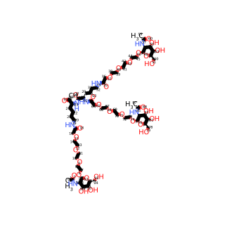 CC(=O)N[C@H]1[C@H](OCCOCCOCCOCC(=O)NCCCCC(NC(=O)[C@H](CCCCNC(=O)COCCOCCOCCO[C@@H]2O[C@H](CO)[C@H](O)[C@H](O)[C@H]2NC(C)=O)NC(=O)COCCOCCOCCO[C@@H]2O[C@H](CO)[C@H](O)[C@H](O)[C@H]2NC(C)=O)C(C)=O)O[C@H](CO)[C@H](O)[C@@H]1O